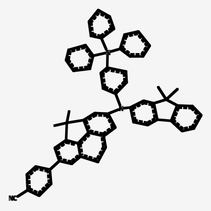 CC1(C)c2ccccc2-c2ccc(N(c3ccc([Si](c4ccccc4)(c4ccccc4)c4ccccc4)cc3)c3cc4c5c(ccc6cc(-c7ccc(C#N)cc7)cc(c65)C4(C)C)c3)cc21